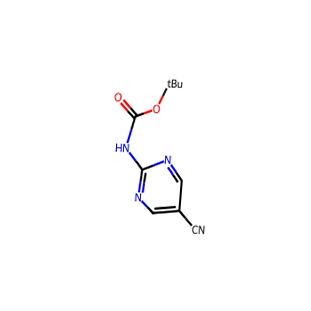 CC(C)(C)OC(=O)Nc1ncc(C#N)cn1